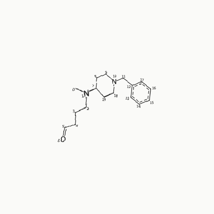 CN(CCCC=O)C1CCN(Cc2ccccc2)CC1